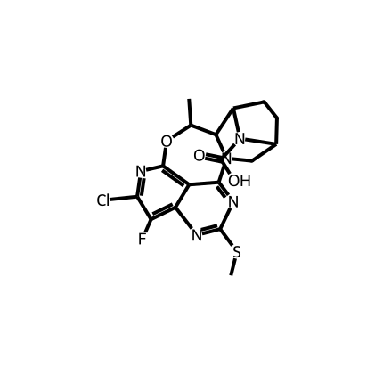 CSc1nc2c3c(nc(Cl)c(F)c3n1)OC(C)C1C3CCC(CN21)N3C(=O)O